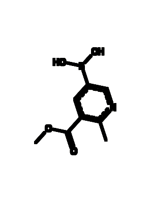 COC(=O)c1cc(B(O)O)cnc1C